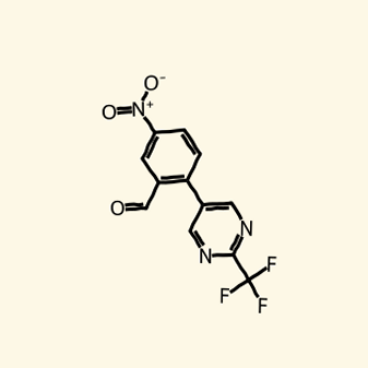 O=Cc1cc([N+](=O)[O-])ccc1-c1cnc(C(F)(F)F)nc1